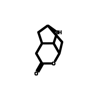 O=C1CC2CC3BC2C(C3)O1